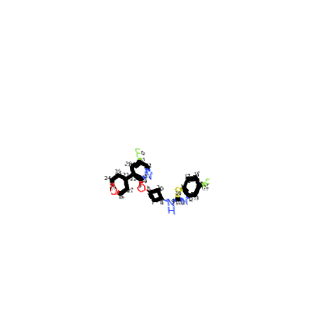 Fc1cnc(O[C@H]2C[C@H](Nc3nc4cc(F)ccc4s3)C2)c(C2CCOCC2)c1